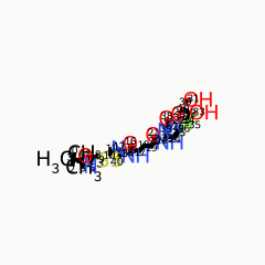 CC(C)(C)c1cnc(CSc2cnc(NC(=O)CCCC(=O)Nc3ccn([C@@H]4O[C@H](CO)[C@@H](O)C4(F)F)c(=O)n3)s2)o1